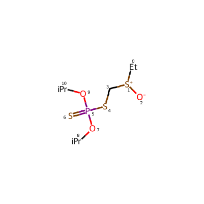 CC[S+]([O-])CSP(=S)(OC(C)C)OC(C)C